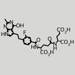 Cc1nc(O)c2c(CCc3ccc(C(=O)N[C@@H](CCC(=O)N[C@@H](CCC(=O)O)C(=O)O)C(=O)O)cc3F)c[nH]c2n1